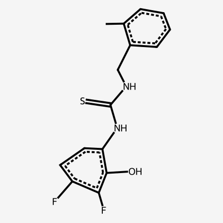 Cc1ccccc1CNC(=S)Nc1ccc(F)c(F)c1O